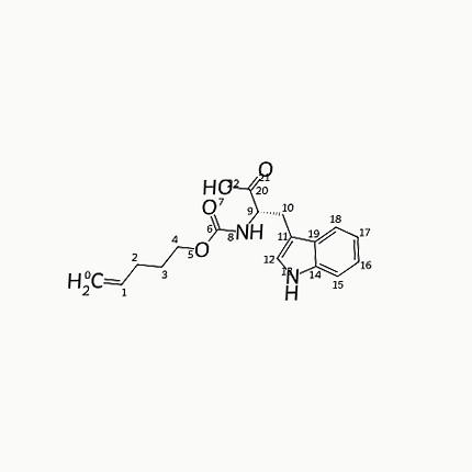 C=CCCCOC(=O)N[C@@H](Cc1c[nH]c2ccccc12)C(=O)O